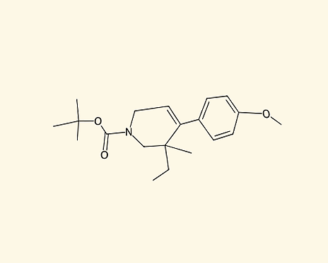 CCC1(C)CN(C(=O)OC(C)(C)C)CC=C1c1ccc(OC)cc1